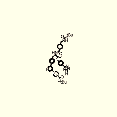 CC(C)(C)OC(=O)NCC1CCC(C(=O)N[C@@H](Cc2ccc(-c3cncc(N4CCN(C(=O)OC(C)(C)C)CC4)c3)cc2)C(=O)Nc2ccc(-c3nn[nH]n3)cc2)CC1